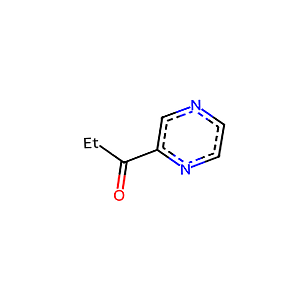 CCC(=O)c1cnccn1